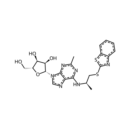 Cc1nc(N[C@H](C)CSc2nc3ccccc3s2)c2ncn([C@@H]3O[C@H](CO)[C@@H](O)[C@H]3O)c2n1